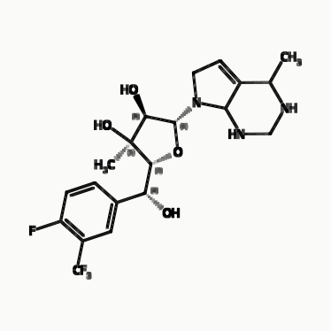 CC1NCNC2C1=CCN2[C@@H]1O[C@H]([C@H](O)c2ccc(F)c(C(F)(F)F)c2)[C@@](C)(O)[C@H]1O